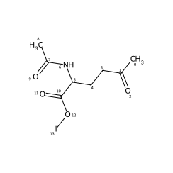 CC(=O)CCC(NC(C)=O)C(=O)OI